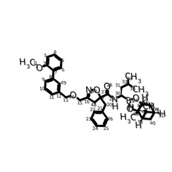 COc1ccccc1-c1cccc(COCC2=NOC(Cc3ccccc3)(C(=O)N[C@@H](CC(C)C)B3O[C@@H]4C[C@@H]5C[C@@H](C5(C)C)[C@]4(C)O3)C2)c1